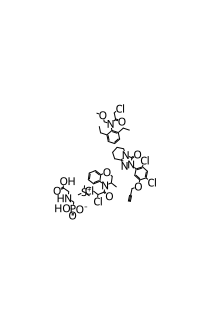 C#CCOc1cc(-n2nc3n(c2=O)CCCC3)c(Cl)cc1Cl.CC1COc2ccccc2N1C(=O)C(Cl)Cl.CCc1cccc(CC)c1N(COC)C(=O)CCl.C[S+](C)C.O=C(O)CNCP(=O)([O-])O